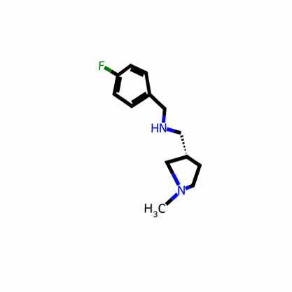 CN1CC[C@@H](CNCc2ccc(F)cc2)C1